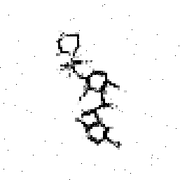 N#Cc1cnc2[nH]cc(C(=O)c3c(F)ccc(NS(=O)(=O)N4CCOCC4)c3F)c2c1